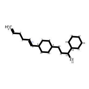 C=CCC/C=C/C1CCC(CCC(CC)C2CCCCC2)CC1